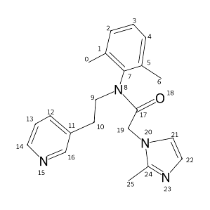 Cc1cccc(C)c1N(CCc1cccnc1)C(=O)Cn1ccnc1C